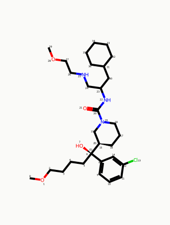 COCCCC[C@@](O)(c1cccc(Cl)c1)[C@@H]1CCCN(C(=O)NC(CNCCOC)CC2CCCCC2)C1